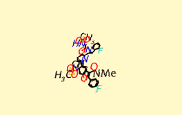 CNC(=O)c1c(-c2ccc(F)cc2)oc2cc(N(C)S(C)(=O)=O)c(-c3ccc4c(n3)-c3cc5c(F)cccc5n3C(CNS(C)(=O)=O)O4)cc12